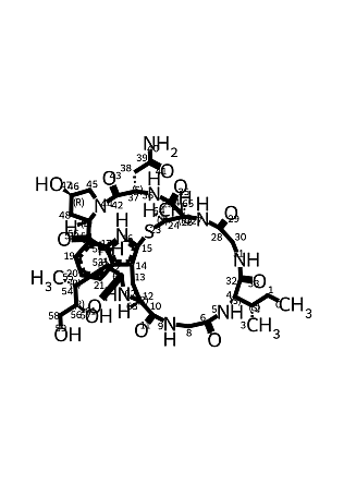 CC[C@H](C)[C@@H]1NC(=O)CNC(=O)[C@H]2Cc3c([nH]c4ccccc34)S[C@@H](C)[C@H](NC(=O)CNC1=O)C(=O)N[C@@H](CC(N)=O)C(=O)N1C[C@H](O)C[C@H]1C(=O)N[C@@H]([C@@H](C)[C@@H](O)CO)C(=O)N2